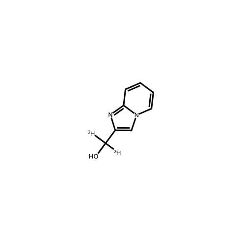 [2H]C([2H])(O)c1cn2ccccc2n1